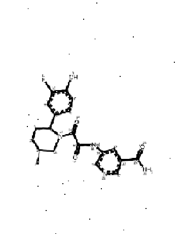 C[C@H]1CCC(c2ccc(O)c(F)c2)N(C(=O)C(=O)Nc2cncc(C(N)=O)c2)C1